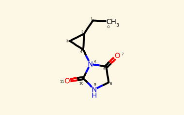 CCC1CC1N1C(=O)CNC1=O